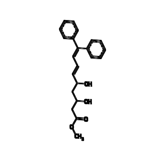 COC(=O)CC(O)CC(O)C=CC=C(c1ccccc1)c1ccccc1